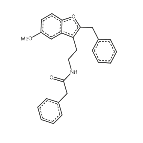 COc1ccc2oc(Cc3ccccc3)c(CCNC(=O)Cc3ccccc3)c2c1